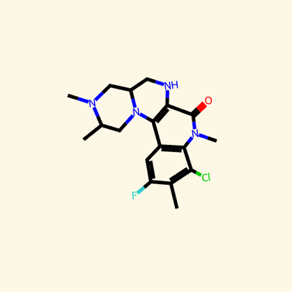 Cc1c(F)cc2c3c(c(=O)n(C)c2c1Cl)NCC1CN(C)C(C)CN31